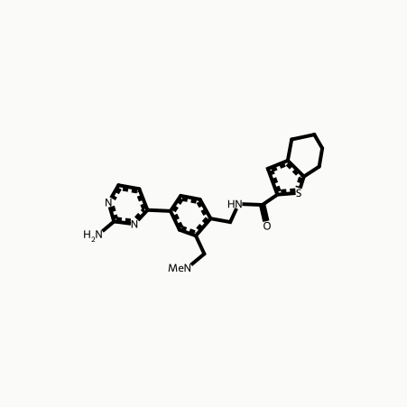 CNCc1cc(-c2ccnc(N)n2)ccc1CNC(=O)c1cc2c(s1)CCCC2